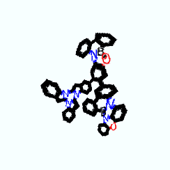 c1ccc2c(c1)Oc1cccc3c1N2B1c2ccccc2-c2cc(-c4cc5c(cc4-c4ccc6c(c4)cc4n7c8ccccc8cc7n7c8ccccc8cc7n64)N4B(O5)c5ccccc5-c5ccccc54)ccc2N13